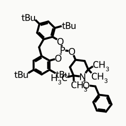 CC(C)(C)c1cc2c(c(C(C)(C)C)c1)OP(OC1CC(C)(C)N(OCc3ccccc3)C(C)(C)C1)Oc1c(cc(C(C)(C)C)cc1C(C)(C)C)C2